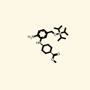 COC(=O)[C@H]1CC[C@@H](Nc2cc(CO[Si](C(C)C)(C(C)C)C(C)C)ccc2N)CC1